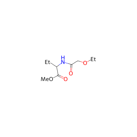 CCOCC(=O)NC(CC)C(=O)OC